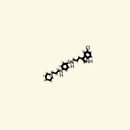 Clc1ccc2[nH]cc(CCCNSc3ccc(NCCCN4CCCCC4)cc3)c2c1